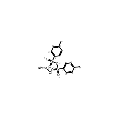 CCCCCCl.Cc1ccc(S(=O)(=O)OS(=O)(=O)c2ccc(C)cc2)cc1